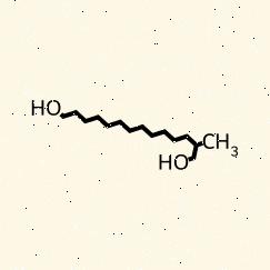 CC(CO)CCCCCCCCCCCCO